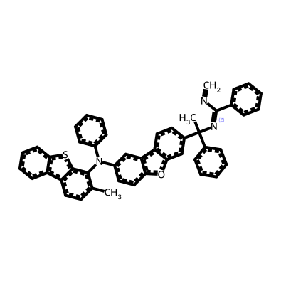 C=N/C(=N\C(C)(c1ccccc1)c1ccc2c(c1)oc1ccc(N(c3ccccc3)c3c(C)ccc4c3sc3ccccc34)cc12)c1ccccc1